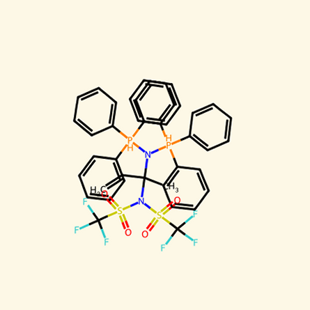 C=CC(C)(N([PH](c1ccccc1)(c1ccccc1)c1ccccc1)[PH](c1ccccc1)(c1ccccc1)c1ccccc1)N(S(=O)(=O)C(F)(F)F)S(=O)(=O)C(F)(F)F